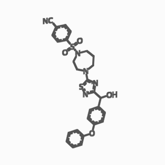 N#Cc1ccc(S(=O)(=O)N2CCCN(c3nc(C(O)c4ccc(Oc5ccccc5)cc4)ns3)CC2)cc1